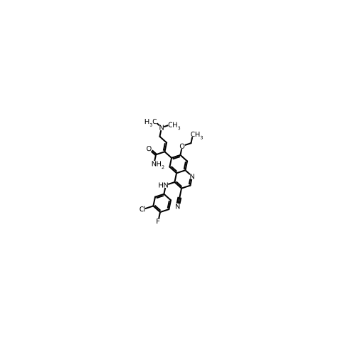 CCOc1cc2ncc(C#N)c(Nc3ccc(F)c(Cl)c3)c2cc1C(=CCN(C)C)C(N)=O